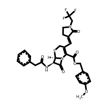 COc1ccc(COC(=O)C2=C(C=C3CCN(CC(F)(F)F)C3=O)CS[C@@H]3[C@H](NC(=O)Cc4ccccc4)C(=O)N23)cc1